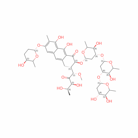 CO[C@H](C(=O)[C@@H](O)[C@@H](C)O)[C@@H]1Cc2cc3cc(O[C@H]4CC[C@H](O)C(C)O4)c(C)c(O)c3c(O)c2C(=O)[C@H]1O[C@H]1C[C@@H](O[C@H]2C[C@@H](O[C@H]3C[C@@H](O)[C@H](O)C(C)O3)[C@H](O)C(C)O2)[C@H](O)C(C)O1